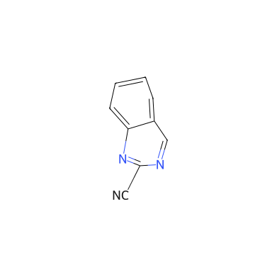 N#Cc1ncc2ccccc2n1